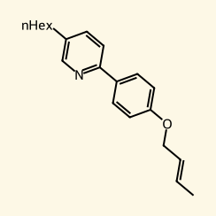 C/C=C/COc1ccc(-c2ccc(CCCCCC)cn2)cc1